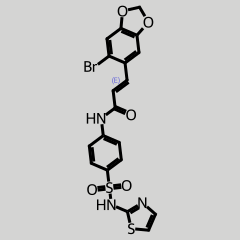 O=C(/C=C/c1cc2c(cc1Br)OCO2)Nc1ccc(S(=O)(=O)Nc2nccs2)cc1